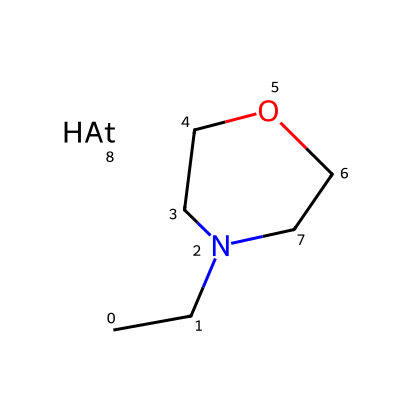 CCN1CCOCC1.[AtH]